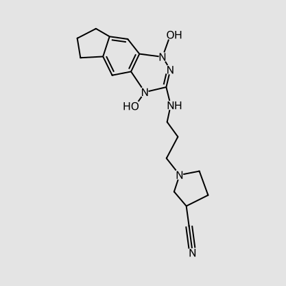 N#CC1CCN(CCCNC2=NN(O)c3cc4c(cc3N2O)CCC4)C1